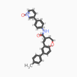 Cc1ccc(-c2ccc3c(c2)C=C(C(=O)Nc2ccc(-c4ccc[n+]([O-])c4)cc2)CCO3)cc1